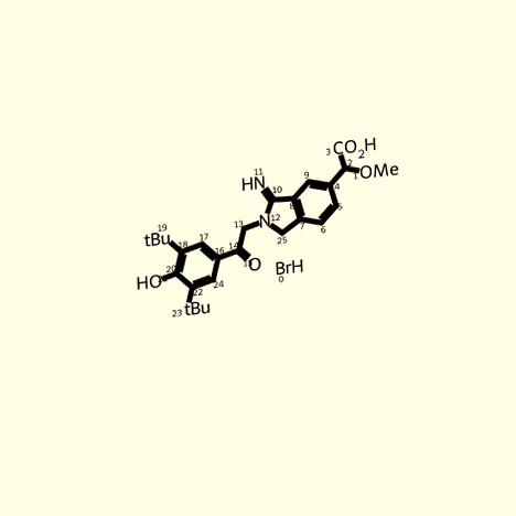 Br.COC(C(=O)O)c1ccc2c(c1)C(=N)N(CC(=O)c1cc(C(C)(C)C)c(O)c(C(C)(C)C)c1)C2